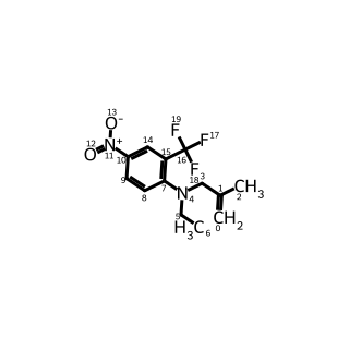 C=C(C)CN(CC)c1ccc([N+](=O)[O-])cc1C(F)(F)F